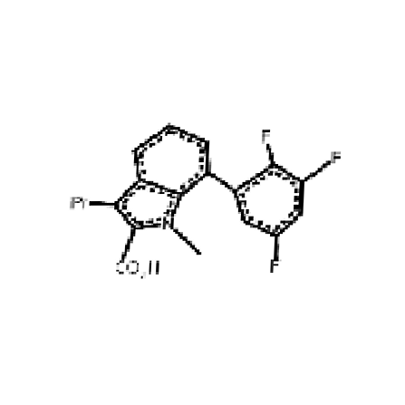 CC(C)c1c(C(=O)O)n(C)c2c(-c3cc(F)cc(F)c3F)cccc12